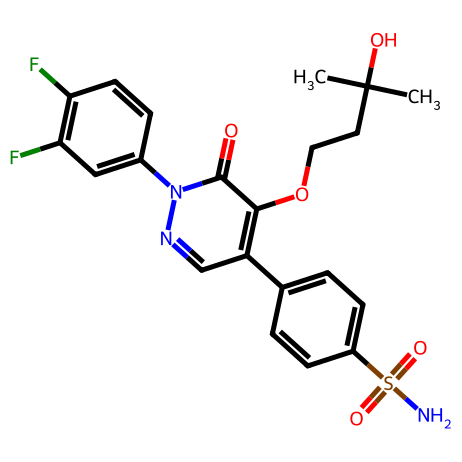 CC(C)(O)CCOc1c(-c2ccc(S(N)(=O)=O)cc2)cnn(-c2ccc(F)c(F)c2)c1=O